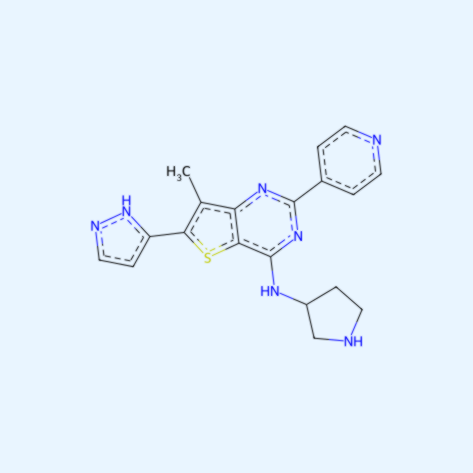 Cc1c(-c2ccn[nH]2)sc2c(NC3CCNC3)nc(-c3ccncc3)nc12